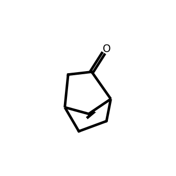 O=C1CC2CCC1C21CCCC1